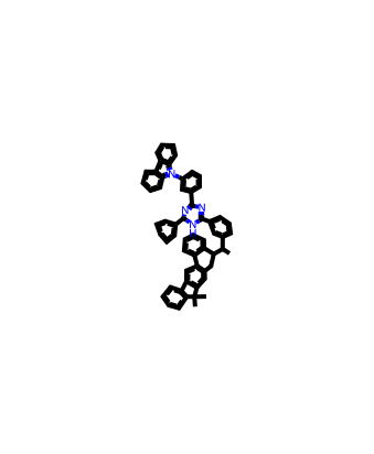 CC(c1cccc(C2=NC(c3cccc(-n4c5ccccc5c5ccccc54)c3)=NC(c3ccccc3)N2)c1)C1Cc2cc3c(cc2-c2ccccc21)-c1ccccc1C3(C)C